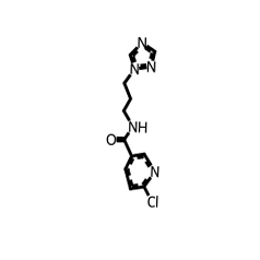 O=C(NCCCn1cncn1)c1ccc(Cl)nc1